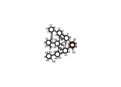 Cc1ccccc1-c1ccc2c3ccc(-c4ccccc4C)cc3n(-c3cc(-c4c(F)cccc4F)cc(-n4c5cc(-c6ccccc6C)ccc5c5ccc(-c6ccccc6C)cc54)c3C(F)(F)F)c2c1